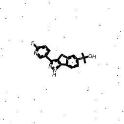 CC(C)(O)c1ccc2c(c1)Cc1c(-c3ccc(F)nc3)n[nH]c1-2